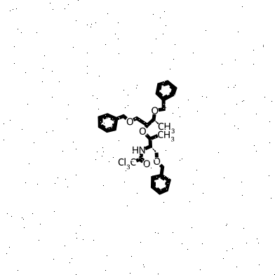 CC(OC(COCc1ccccc1)[C@@H](C)OCc1ccccc1)[C@H](COCc1ccccc1)NC(=O)C(Cl)(Cl)Cl